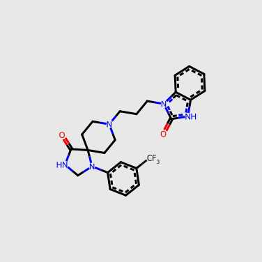 O=C1NCN(c2cccc(C(F)(F)F)c2)C12CCN(CCCn1c(=O)[nH]c3ccccc31)CC2